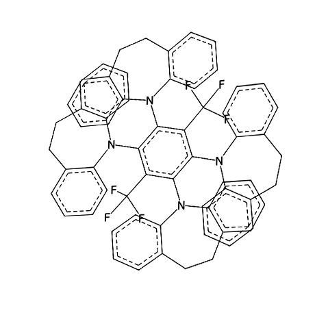 FC(F)(F)c1c(N2c3ccccc3CCc3ccccc32)c(N2c3ccccc3CCc3ccccc32)c(C(F)(F)F)c(N2c3ccccc3CCc3ccccc32)c1N1c2ccccc2CCc2ccccc21